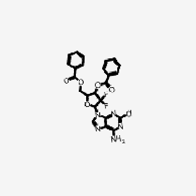 Nc1nc(Cl)nc2c1ncn2C1OC(COC(=O)c2ccccc2)C(OC(=O)c2ccccc2)C1(F)F